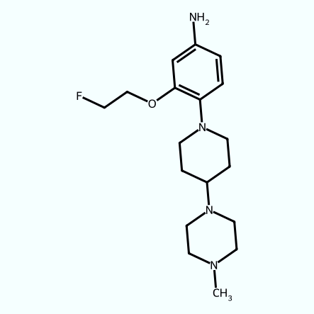 CN1CCN(C2CCN(c3ccc(N)cc3OCCF)CC2)CC1